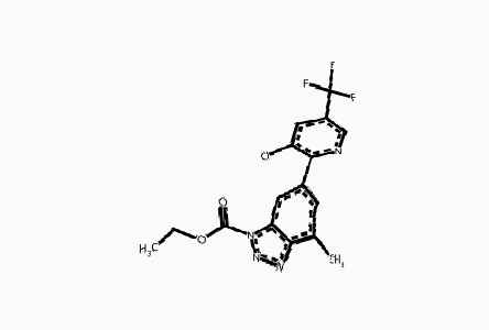 CCOC(=O)n1nnc2c(C)cc(-c3ncc(C(F)(F)F)cc3Cl)cc21